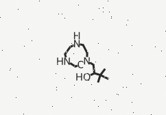 CC(C)(C)C(O)CN1CCNCCNCC1